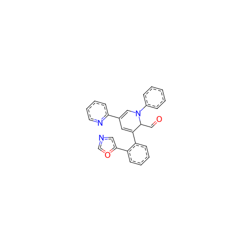 O=CC1C(c2ccccc2-c2cnco2)=CC(c2ccccn2)=CN1c1ccccc1